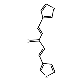 O=C(C=Cc1ccsc1)C=Cc1ccsc1